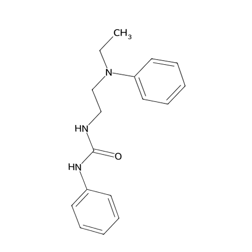 CCN(CCNC(=O)Nc1ccccc1)c1ccccc1